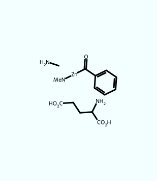 CN.C[NH][Zn][C](=O)c1ccccc1.NC(CCC(=O)O)C(=O)O